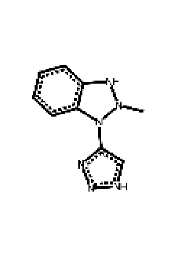 CN1Nc2ccccc2N1c1c[nH]nn1